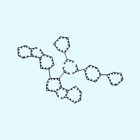 c1ccc(-c2ccc(-c3nc(-c4ccccc4)nc(-c4c(-c5ccc6oc7ccccc7c6c5)ccc5oc6ccccc6c45)n3)cc2)cc1